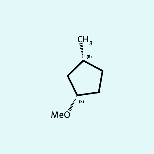 CO[C@H]1CC[C@@H](C)C1